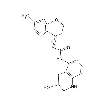 O=C(/C=C1\CCOc2cc(C(F)(F)F)ccc21)Nc1cccc2c1CC(O)CN2